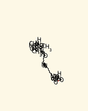 COc1cc(N2CCN(C(=O)CCCCCc3cn(CCCCCCCCNc4cccc5c4C(=O)N(C4CCC(=O)NC4=O)C5=O)nn3)CC2)ccc1Nc1ncc(Cl)c(Nc2ccccc2P(C)(C)=O)n1